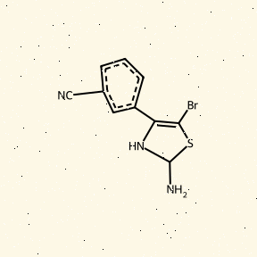 N#Cc1cccc(C2=C(Br)SC(N)N2)c1